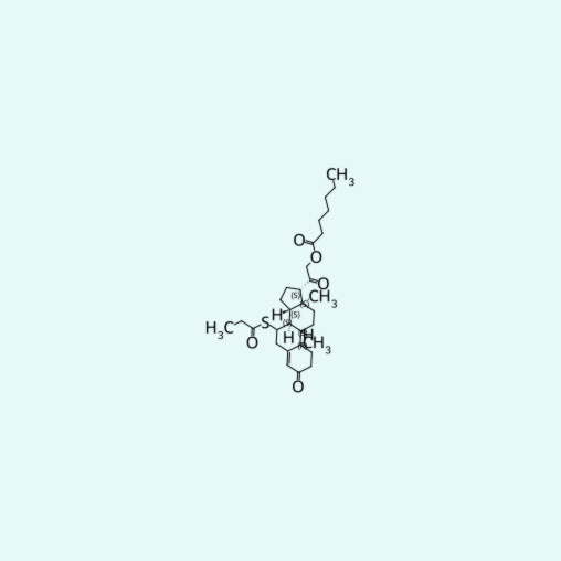 CCCCCCC(=O)OCC(=O)[C@H]1CC[C@H]2[C@@H]3C(SC(=O)CC)CC4=CC(=O)CC[C@]4(C)[C@H]3CC[C@]12C